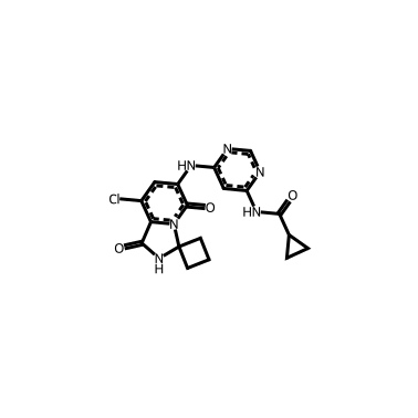 O=C1NC2(CCC2)n2c1c(Cl)cc(Nc1cc(NC(=O)C3CC3)ncn1)c2=O